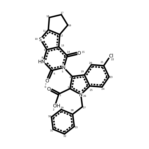 O=C(O)c1c(-n2c(=O)[nH]c3sc4c(c3c2=O)CCC4)c2cc(Cl)ccc2n1Cc1ccccc1